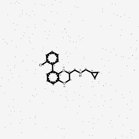 Clc1ccccc1-c1cccc2c1OC(CNCC1CC1)CO2